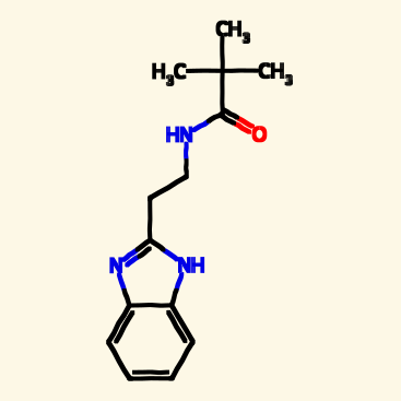 CC(C)(C)C(=O)NCCc1nc2ccccc2[nH]1